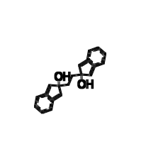 OC1(CCC2(O)C=c3ccccc3=C2)C=c2ccccc2=C1